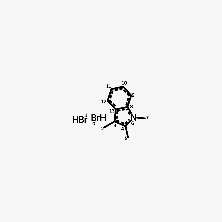 Br.Br.Cc1c(C)n(C)c2ccccc12